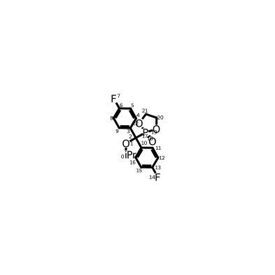 CC(C)OC(c1ccc(F)cc1)(c1ccc(F)cc1)P1(=O)OCCO1